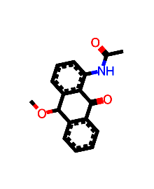 COC1c2ccccc2C(=O)c2c(NC(C)=O)cccc21